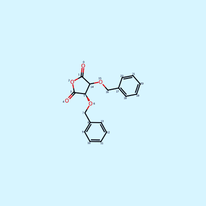 O=C1OC(=O)[C@H](OCc2ccccc2)C1OCc1ccccc1